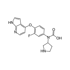 O=C(O)N(c1ccc(Oc2ccnc3[nH]ccc23)c(F)c1)C1CCNC1